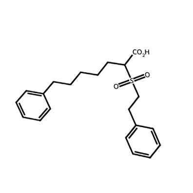 O=C(O)C(CCCCCc1ccccc1)S(=O)(=O)CCc1ccccc1